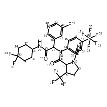 N#CN1CCC(C(F)(F)F)C1C(=O)N(c1ccc(S(F)(F)(F)(F)F)cc1)C(C(=O)NC1CCC(F)(F)CC1)c1cncc(F)c1